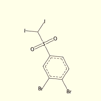 O=S(=O)(c1ccc(Br)c(Br)c1)C(I)I